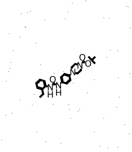 CCc1ccccc1NC(=O)Nc1ccc(N2CCN(C(=O)OC(C)(C)C)CC2)cc1